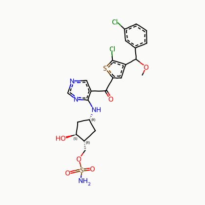 COC(c1cccc(Cl)c1)c1cc(C(=O)c2cncnc2N[C@@H]2C[C@H](COS(N)(=O)=O)[C@@H](O)C2)sc1Cl